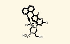 CC(C)[Si](C#Cc1cccc2cccc(-c3ccc4c(N5CCN(C(=O)O)C(CC#N)C5)nc(Cl)nc4c3F)c12)(C(C)C)C(C)C